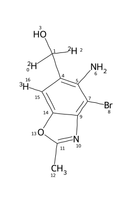 [2H]C([2H])(O)c1c(N)c(Br)c2nc(C)oc2c1[3H]